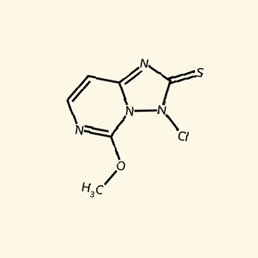 COc1nccc2nc(=S)n(Cl)n12